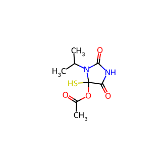 CC(=O)OC1(S)C(=O)NC(=O)N1C(C)C